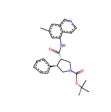 Cc1cc(NC(=O)[C@@H]2CN(C(=O)OC(C)(C)C)C[C@H]2c2ccccc2)c2ccncc2c1